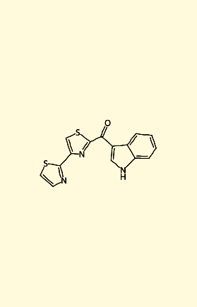 O=C(c1nc(-c2nccs2)cs1)c1c[nH]c2ccccc12